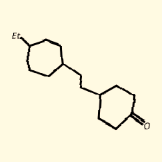 CCC1CCC(CCC2CCC(=O)CC2)CC1